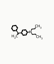 C=C(c1ccccc1)c1ccc(N(CCC)CCC)cc1